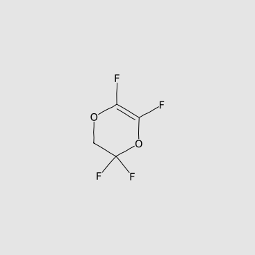 FC1=C(F)OC(F)(F)CO1